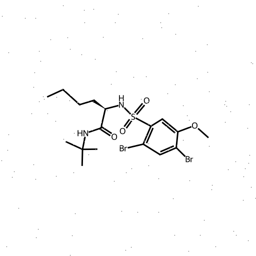 CCCC[C@@H](NS(=O)(=O)c1cc(OC)c(Br)cc1Br)C(=O)NC(C)(C)C